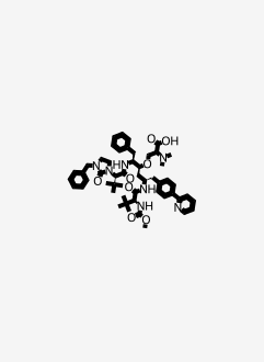 COC(=O)N[C@H](C(=O)N[C@@H](Cc1ccc(-c2ccccn2)cc1)C[C@H](OCC(C(=O)O)N(C)C)[C@H](Cc1ccccc1)NC(=O)[C@@H](N1CCN(Cc2ccccc2)C1=O)C(C)(C)C)C(C)(C)C